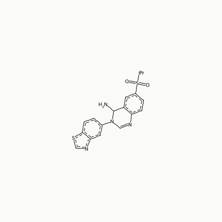 CC(C)S(=O)(=O)c1ccc2c(c1)C(N)N(c1ccc3scnc3c1)C=N2